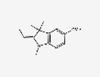 C/C=C1/N(C)c2ccc(OC)cc2C1(C)C